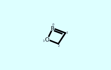 B1=CCO1